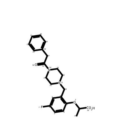 CC(Oc1ccc(F)cc1CN1CCN(C(=O)Cc2ccccc2)CC1)C(=O)O